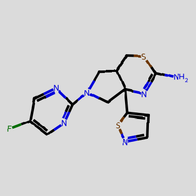 NC1=NC2(c3ccns3)CN(c3ncc(F)cn3)CC2CS1